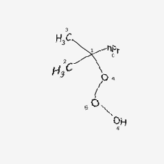 CCCC(C)(C)OOO